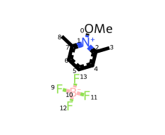 CO[n+]1c(C)cccc1C.F[B-](F)(F)F